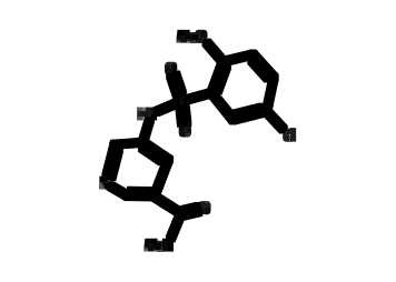 CNC(=O)c1cncc(NS(=O)(=O)c2cc(Cl)ccc2OC)c1